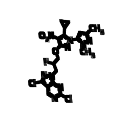 Cc1cc(-n2nc(OCC(F)Cn3nc(Cl)c4cnc(Cl)nc43)c([N+](=O)[O-])c2C2CC2)n(C)n1